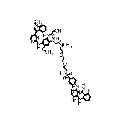 C=CC(=O)Nc1cc(Nc2nccc(-c3cn(C)c4ccccc34)n2)c(OC)cc1N(C)CCN(C)CCOCCOCCNS(=O)(=O)c1ccc(Nc2ncc(Br)c(Nc3cccc(F)c3C(N)=O)n2)cc1